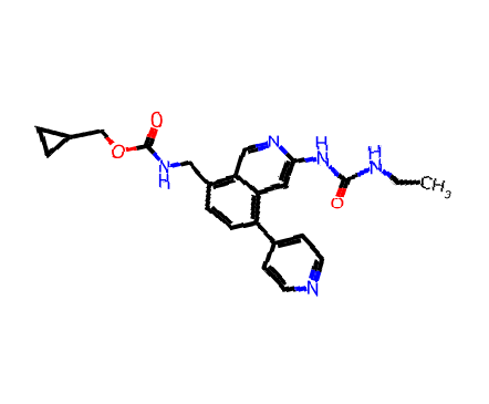 CCNC(=O)Nc1cc2c(-c3ccncc3)ccc(CNC(=O)OCC3CC3)c2cn1